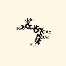 C=C1/C(=C\C=C2/CCC[C@]3(C)[C@@H]([C@H](C)C(CC(=O)C4(C(OC(C)=O)C(F)(F)C(F)(F)C(F)(F)C(F)(F)F)CC4)OC(C)=O)CC[C@@H]23)C[C@@H](O[Si](C)(C)C(C)(C)C)C[C@@H]1O[Si](C)(C)C(C)(C)C